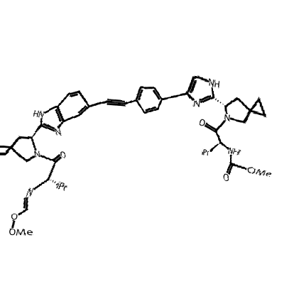 COO/C=N/[C@H](C(=O)N1CC2(CC2)C[C@H]1c1nc2cc(C#Cc3ccc(-c4c[nH]c([C@@H]5CC6(CC6)CN5C(=O)[C@@H](NC(=O)OC)C(C)C)n4)cc3)ccc2[nH]1)C(C)C